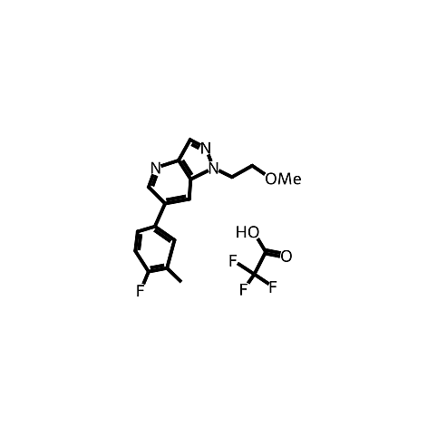 COCCn1ncc2ncc(-c3ccc(F)c(C)c3)cc21.O=C(O)C(F)(F)F